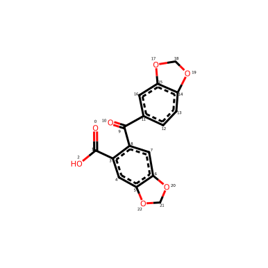 O=C(O)c1cc2c(cc1C(=O)c1ccc3c(c1)OCO3)OCO2